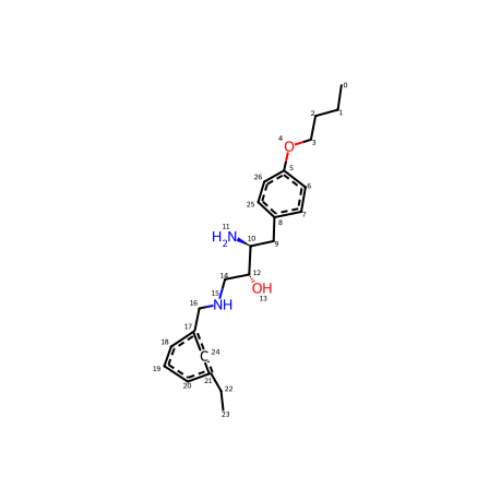 CCCCOc1ccc(C[C@H](N)[C@H](O)CNCc2cccc(CC)c2)cc1